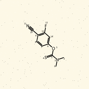 CN(C)C(=S)Oc1ccc(C#N)c(F)c1